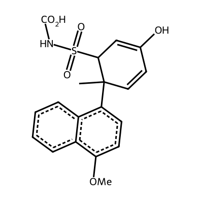 COc1ccc(C2(C)C=CC(O)=CC2S(=O)(=O)NC(=O)O)c2ccccc12